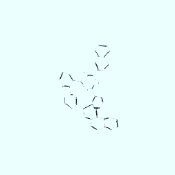 CC12C=C(c3ccc4c(ccc5ccccc54)c3)C=CC1Oc1cccc(-c3nc(-c4ccccc4)nc(-c4ccc5ccccc5c4)n3)c12